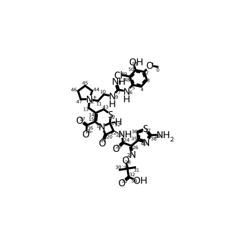 COc1ccc(NC(=N)NCC[N+]2(CC3=C(C(=O)[O-])N4C(=O)[C@@H](NC(=O)/C(=N\OC(C)(C)C(=O)O)c5csc(N)n5)[C@H]4SC3)CCCC2)c(Cl)c1O